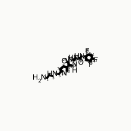 NCCCNCc1ccc(-c2c[nH]c(NC(=O)Nc3cc(F)c(F)cc3F)nc2=O)cn1